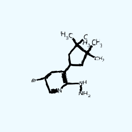 CC1(C)CC(c2cc(Br)cnc2NN)CC1(C)C